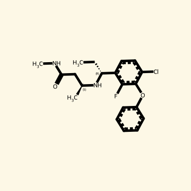 CC[C@@H](N[C@@H](C)CC(=O)NC)c1ccc(Cl)c(Oc2ccccc2)c1F